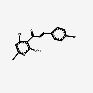 COc1nc(C)cc(O)c1C(=O)/C=C/c1ccc(Br)cc1